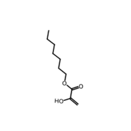 C=C(O)C(=O)OCCCCCCC